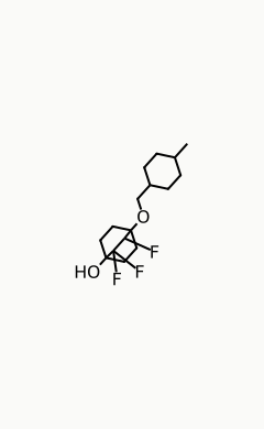 CC1CCC(COC23CCC(O)(CC2)C(F)(F)C3F)CC1